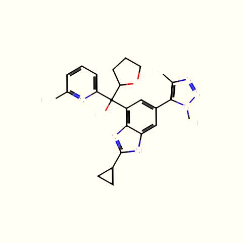 Cc1cccc(C(O)(c2cc(-c3c(C)nnn3C)cc3[nH]c(C4CC4)nc23)C2CCCO2)n1